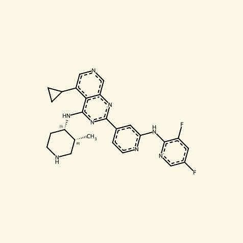 C[C@@H]1CNCC[C@@H]1Nc1nc(-c2ccnc(Nc3ncc(F)cc3F)c2)nc2cncc(C3CC3)c12